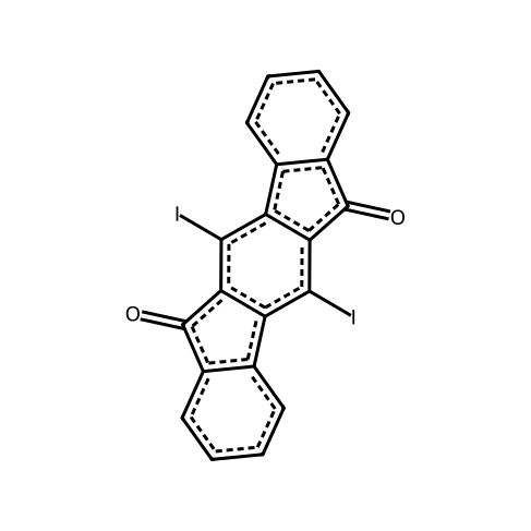 O=c1c2ccccc2c2c(I)c3c(=O)c4ccccc4c3c(I)c12